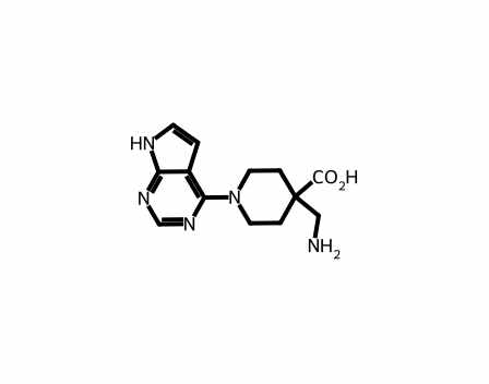 NCC1(C(=O)O)CCN(c2ncnc3[nH]ccc23)CC1